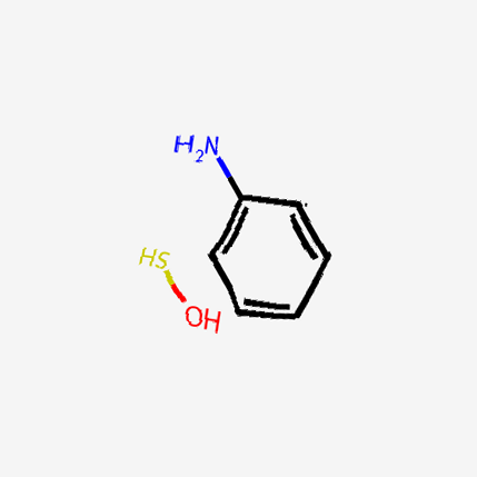 Nc1[c]cccc1.OS